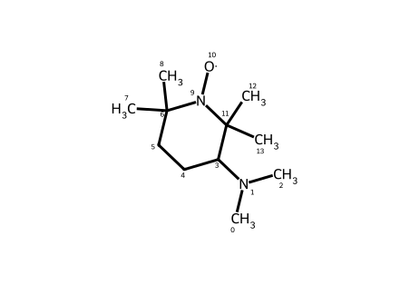 CN(C)C1CCC(C)(C)N([O])C1(C)C